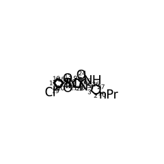 CCC[C@H]1CC[C@H](C2=NC3(CCN(S(=O)(=O)c4cccc(Cl)c4)CC3)C(=O)N2)CC1